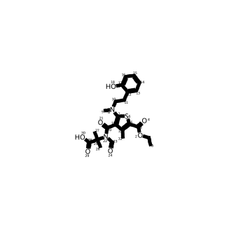 CCOC(=O)c1sc(N(C)CCc2ccccc2O)c(C(=O)N(C=O)C(C)(C)C(=O)O)c1C